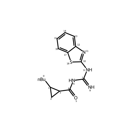 CCCCC1CC1C(=O)NC(=N)Nc1nc2ccccc2s1